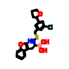 OB(O)[C@H](Cc1coc2ccccc12)NSCc1cc(Cl)cc(C2CCCO2)c1